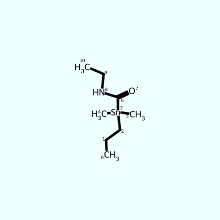 CC[CH2][Sn]([CH3])([CH3])[C](=O)NCC